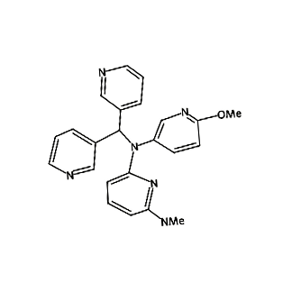 CNc1cccc(N(c2ccc(OC)nc2)C(c2cccnc2)c2cccnc2)n1